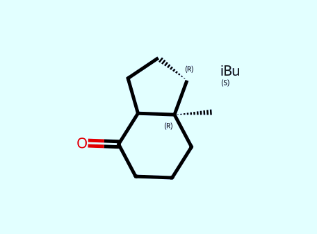 CC[C@H](C)[C@H]1CCC2C(=O)CCC[C@@]21C